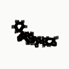 O=C(OCOC(=O)N1CC2COC(C1)C2OCc1ccc(Cl)cc1)c1ccccc1